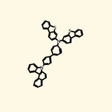 C1#CC(N(c2ccc3c(c2)sc2ccccc23)c2ccc3c(c2)sc2ccccc23)C=CC(c2ccc(-n3c4ccccc4c4c5ccccc5ccc43)cc2)=C1